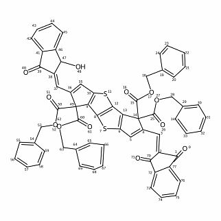 O=C1C(=CC2=Cc3sc4c5c(sc4c3C2(C(=O)OCc2ccccc2)C(=O)OCc2ccccc2)C=C(/C=C2/C(=O)c3ccccc3C2O)C5(C(=O)OCc2ccccc2)C(=O)OCc2ccccc2)C(=O)c2ccccc21